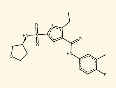 CCc1sc(S(=O)(=O)N[C@H]2CCOC2)cc1C(=O)Nc1ccc(F)c(C)c1